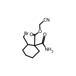 N#CCOC(=O)C1(C(N)=O)CCCCC1CBr